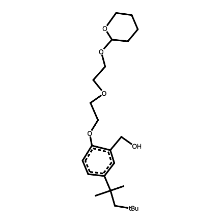 CC(C)(C)CC(C)(C)c1ccc(OCCOCCOC2CCCCO2)c(CO)c1